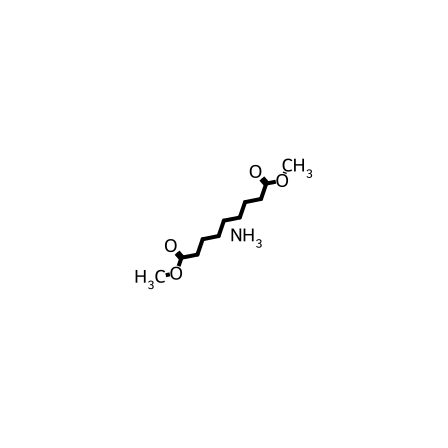 COC(=O)CCCCCCCC(=O)OC.N